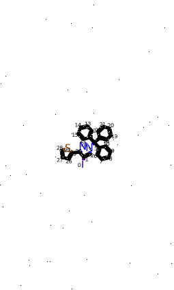 Ic1cn(C(c2ccccc2)(c2ccccc2)c2ccccc2)nc1-c1cccs1